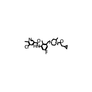 Cc1ncc(C(=O)Nc2cc(F)cc(CN3CCN(C(=O)CC4CC4)C(C)C3)c2C)cc1Cl